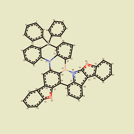 c1ccc([Si]2(c3ccccc3)c3ccccc3N3c4cc5c(oc6ccccc65)c5c4B(c4cccc2c43)n2c3oc4ccccc4c3c3cccc-5c32)cc1